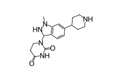 CN1NC(N2CCC(=O)NC2=O)c2ccc(C3CCNCC3)cc21